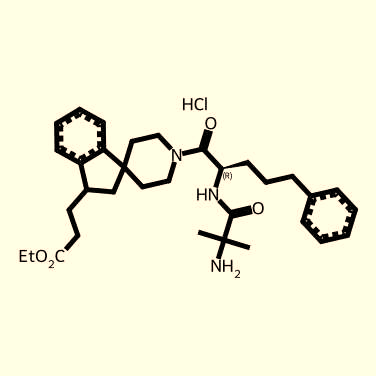 CCOC(=O)CCC1CC2(CCN(C(=O)[C@@H](CCCc3ccccc3)NC(=O)C(C)(C)N)CC2)c2ccccc21.Cl